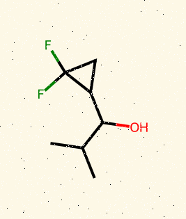 CC(C)C(O)C1CC1(F)F